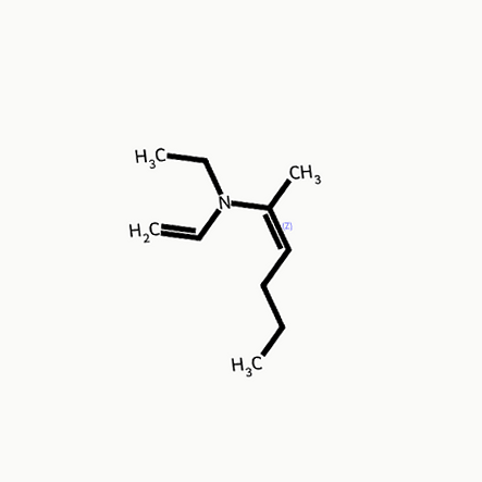 C=CN(CC)/C(C)=C\CCC